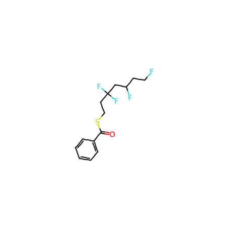 O=C(SCCC(F)(F)CC(F)CCF)c1ccccc1